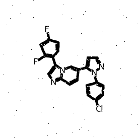 Fc1ccc(-c2cnc3ccc(-c4ccnn4-c4ccc(Cl)cc4)cn23)c(F)c1